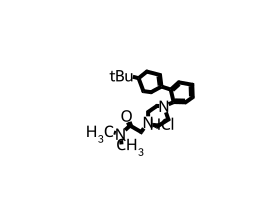 CN(C)C(=O)CN1CCN(c2ccccc2C2=CCC(C(C)(C)C)CC2)CC1.Cl